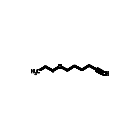 C#CCCCCO[CH]CC